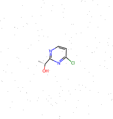 C[C@@H](O)c1nccc(Cl)n1